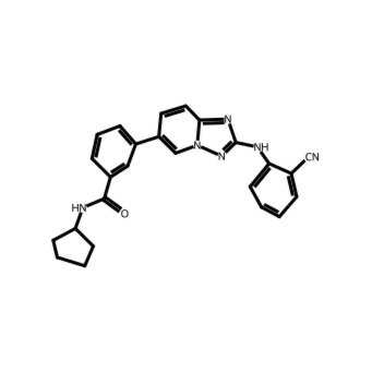 N#Cc1ccccc1Nc1nc2ccc(-c3cccc(C(=O)NC4CCCC4)c3)cn2n1